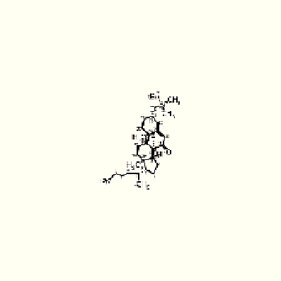 CC(C)CCCC(C)[C@H]1CC[C@H]2[C@@H]3C(=O)C=C4C[C@@H](O[Si](C)(C)C(C)(C)C)CC[C@]4(C)[C@H]3CC[C@]12C